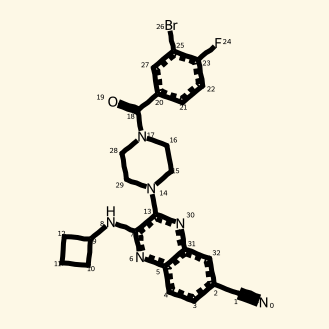 N#Cc1ccc2nc(NC3CCC3)c(N3CCN(C(=O)c4ccc(F)c(Br)c4)CC3)nc2c1